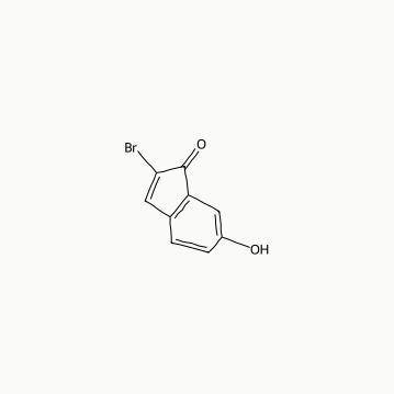 O=C1C(Br)=Cc2ccc(O)cc21